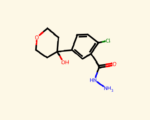 NNC(=O)c1cc(C2(O)CCOCC2)ccc1Cl